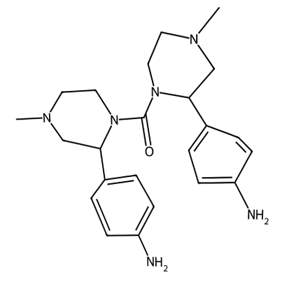 CN1CCN(C(=O)N2CCN(C)CC2c2ccc(N)cc2)C(c2ccc(N)cc2)C1